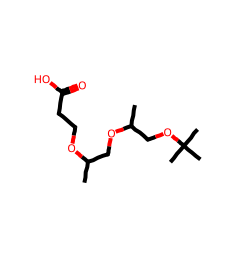 CC(COC(C)COC(C)(C)C)OCCC(=O)O